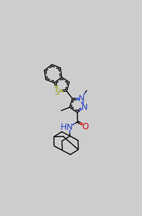 Cc1c(C(=O)NC23CC4CC(CC(C4)C2)C3)nn(C)c1-c1cc2ccccc2s1